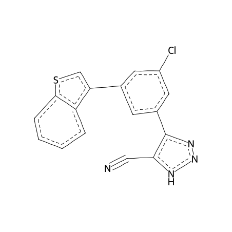 N#Cc1[nH]nnc1-c1cc(Cl)cc(-c2csc3ccccc23)c1